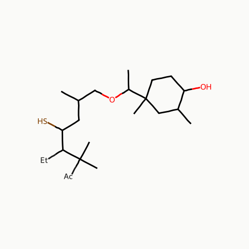 CCC(C(S)CC(C)COC(C)C1(C)CCC(O)C(C)C1)C(C)(C)C(C)=O